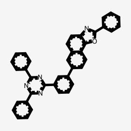 c1ccc(-c2nc(-c3ccccc3)nc(-c3cccc(-c4ccc5c(ccc6nc(-c7ccccc7)oc65)c4)c3)n2)cc1